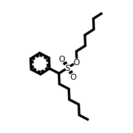 CCCCCCOS(=O)(=O)C(CCCCCC)c1ccccc1